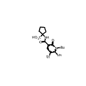 CCCCn1c(CCC)c(CC)cc(C(=O)NC2(C(=O)O)CCCC2)c1=O